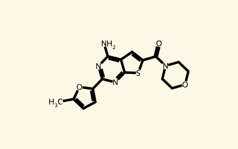 Cc1ccc(-c2nc(N)c3cc(C(=O)N4CCOCC4)sc3n2)o1